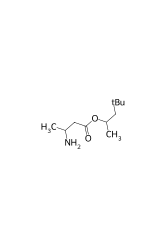 CC(N)CC(=O)OC(C)CC(C)(C)C